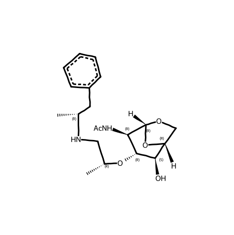 CC(=O)N[C@H]1[C@@H]2OC[C@@H](O2)[C@@H](O)[C@@H]1O[C@H](C)CN[C@H](C)Cc1ccccc1